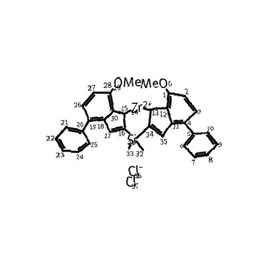 COc1ccc(-c2ccccc2)c2c1[CH]1[Zr+2][CH]3C(=Cc4c(-c5ccccc5)ccc(OC)c43)[Si](C)(C)C1=C2.[Cl-].[Cl-]